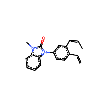 C=Cc1ccc(-n2c(=O)n(C)c3ccccc32)cc1/C=C\C